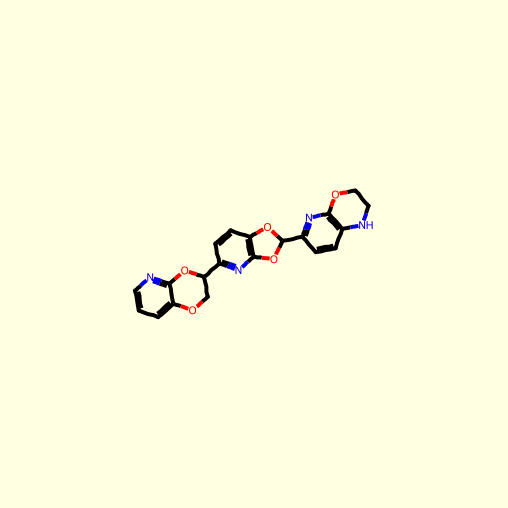 c1cnc2c(c1)OCC(c1ccc3c(n1)OC(c1ccc4c(n1)OCCN4)O3)O2